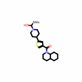 CNC(O)N1CCC(c2cc(C(=O)N3CCCC4CCCCC43)cs2)CC1